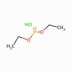 CCOPOCC.Cl